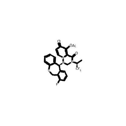 CC(=O)Oc1c2n(ccc1=O)N([C@@H]1c3ccccc3SCc3c(F)cccc31)CN([C@@H](C)C(F)(F)F)C2=O